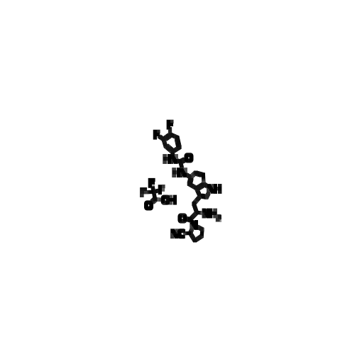 N#CC1CCCN1C(=O)C(N)Cc1c[nH]c2ccc(NC(=O)Nc3ccc(F)c(F)c3)cc12.O=C(O)C(F)(F)F